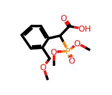 COCc1ccccc1C(C(=O)O)P(=O)(OC)OC